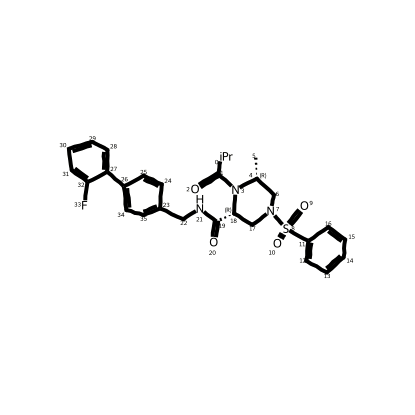 CC(C)C(=O)N1[C@H](C)CN(S(=O)(=O)c2ccccc2)C[C@@H]1C(=O)NCc1ccc(-c2ccccc2F)cc1